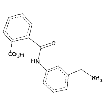 NCc1cccc(NC(=O)c2ccccc2C(=O)O)c1